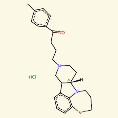 Cc1ccc(C(=O)CCCN2CC[C@H]3C(C2)c2cccc4c2N3CCCS4)cc1.Cl